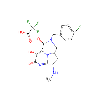 CNC1CC2CN(Cc3ccc(F)cc3)C(=O)c3c(O)c(=O)nc1n32.O=C(O)C(F)(F)F